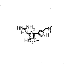 CC(=O)O.CN(C)Cc1cc(-c2csc(NC(=N)N)n2)c[nH]1